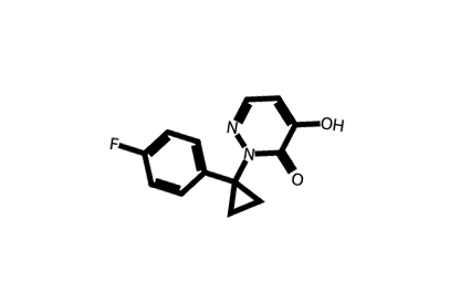 O=c1c(O)ccnn1C1(c2ccc(F)cc2)CC1